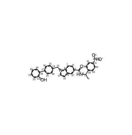 CC(NC(=O)c1ccc2c(ccn2Cc2ccc(-c3ccccc3O)cc2)c1)c1ccc([N+](=O)[O-])cc1